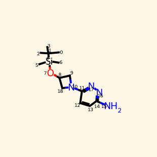 CC(C)(C)[Si](C)(C)OC1CN(c2ccc(N)nn2)C1